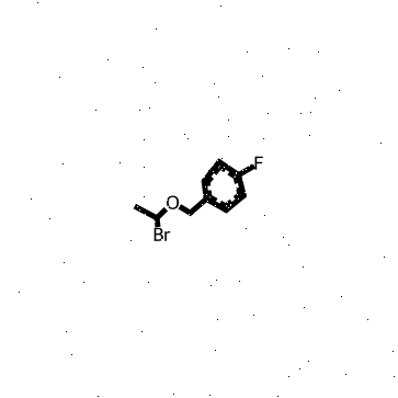 CC(Br)OCc1ccc(F)cc1